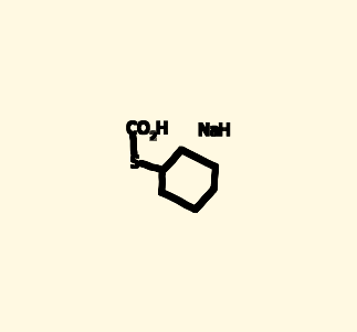 O=C(O)SC1CCCCC1.[NaH]